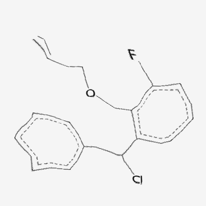 C=CCOc1c(F)cccc1C(Cl)c1ccccc1